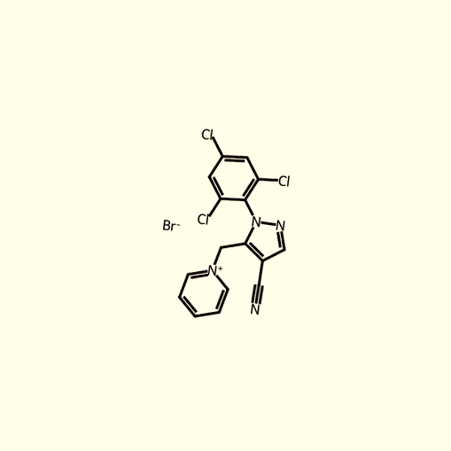 N#Cc1cnn(-c2c(Cl)cc(Cl)cc2Cl)c1C[n+]1ccccc1.[Br-]